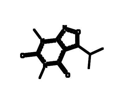 CC(C)c1onc2c1c(=O)n(C)c(=O)n2C